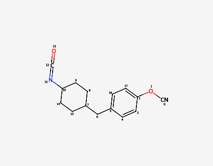 N#COc1ccc(CC2CCC(N=C=O)CC2)cc1